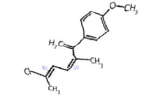 C=C(/C(C)=C\C=C(/C)Cl)c1ccc(OC)cc1